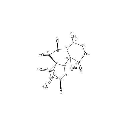 C=C1C(=O)[C@]23CC[C@H]1CC2C1(CCCC)C(=O)OCC(C)C1[C@H](Cl)C3=O